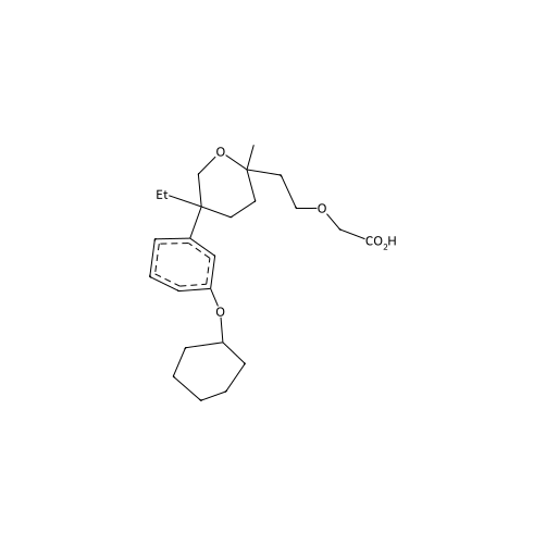 CCC1(c2cccc(OC3CCCCC3)c2)CCC(C)(CCOCC(=O)O)OC1